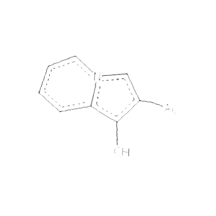 CC(=O)c1cn2ccccc2c1C